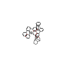 c1ccc(-c2cccc(-c3ccccc3)c2Nc2cc(N(c3ccccc3)c3c(-c4ccccc4)cccc3-c3ccccc3)cc(N3C4CC5CC3C3CCCC5C3C4)c2)cc1